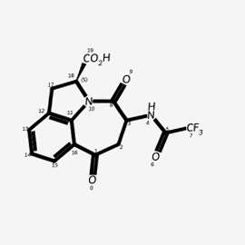 O=C1CC(NC(=O)C(F)(F)F)C(=O)N2c3c(cccc31)C[C@H]2C(=O)O